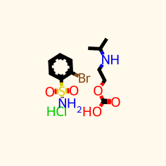 CC(C)NCCOC(=O)O.Cl.NS(=O)(=O)c1ccccc1Br